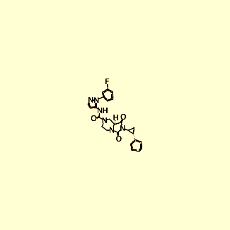 O=C(Nc1ccnn1-c1cccc(F)c1)N1CCN2C(=O)N([C@H]3C[C@@H]3c3ccccc3)C(=O)[C@@H]2C1